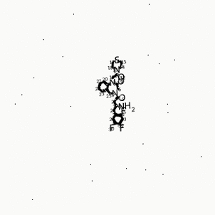 N[C@@H](CC(=O)N1CC(=O)N(CC(=O)N2CCSCC2)c2ccccc2C1)Cc1cc(F)c(F)cc1F